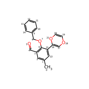 Cc1cc(C=O)c(OCc2ccccc2)c(C2=COC=CO2)c1